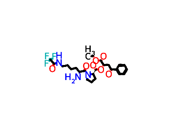 CCOC(=O)C(CC(=O)c1ccccc1)OC(=O)[C@@H]1CCCN1C(=O)[C@@H](N)CCCCNC(=O)C(F)(F)F